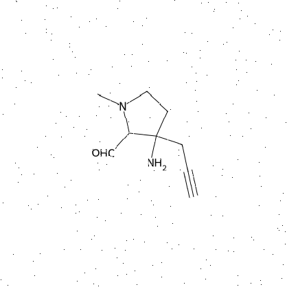 C#CCC1(N)CCN(C)C1C=O